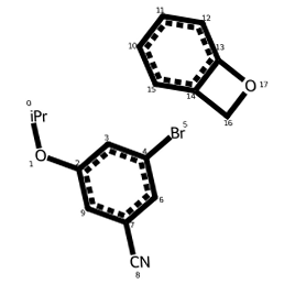 CC(C)Oc1cc(Br)cc(C#N)c1.c1ccc2c(c1)CO2